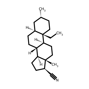 CC[C@]12CC[C@@H](C)C[C@@H]1CC[C@H]1[C@@H]3CC[C@H](C#N)[C@@]3(C)CC[C@@H]12